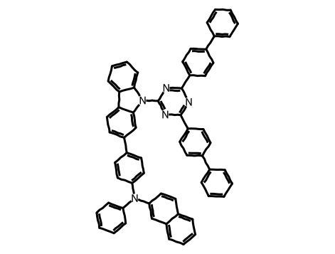 c1ccc(-c2ccc(-c3nc(-c4ccc(-c5ccccc5)cc4)nc(-n4c5ccccc5c5ccc(-c6ccc(N(c7ccccc7)c7ccc8ccccc8c7)cc6)cc54)n3)cc2)cc1